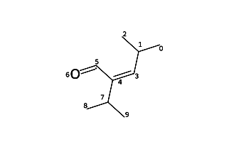 CC(C)C=C([C]=O)C(C)C